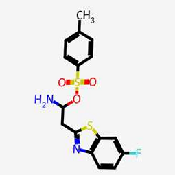 Cc1ccc(S(=O)(=O)OC(N)Cc2nc3ccc(F)cc3s2)cc1